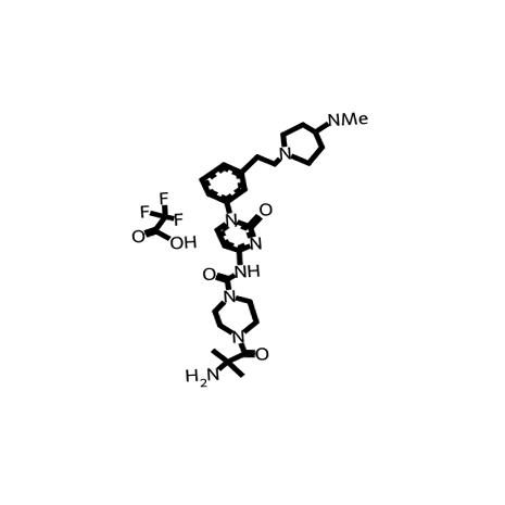 CNC1CCN(CCc2cccc(-n3ccc(NC(=O)N4CCN(C(=O)C(C)(C)N)CC4)nc3=O)c2)CC1.O=C(O)C(F)(F)F